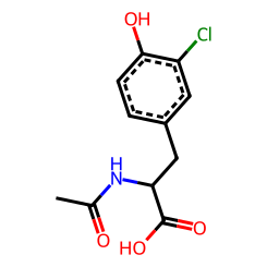 CC(=O)NC(Cc1ccc(O)c(Cl)c1)C(=O)O